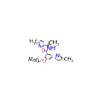 COCCOc1cc(C(=O)N[C@H](C)c2ccc(C)nc2)cc(-c2ccc(C)cn2)c1